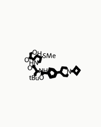 CS[C@H]1CN(C(=O)C(CC(C)(C)C)NC(=O)c2ccc(C3CCN(C4CCC4)CC3)cc2)[C@@H]2C(=O)CO[C@H]12